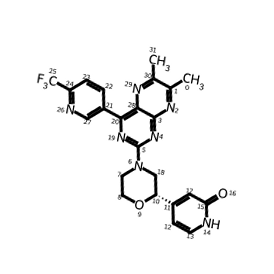 Cc1nc2nc(N3CCO[C@@H](c4cc[nH]c(=O)c4)C3)nc(-c3ccc(C(F)(F)F)nc3)c2nc1C